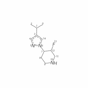 CC(C)c1cnn(C2CCNCC2F)c1